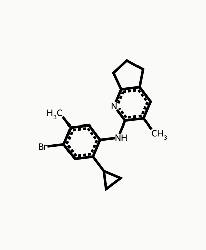 Cc1cc(Nc2nc3c(cc2C)CCC3)c(C2CC2)cc1Br